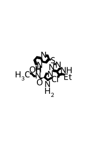 CCc1[nH]c2nc(Sc3cnc4cccnc4c3)nc(N3C[C@@H](N)[C@@H](C(=O)NCC(C)O)C3)c2c1Cl